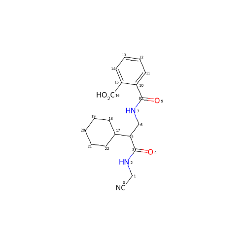 N#CCNC(=O)C(CNC(=O)c1ccccc1C(=O)O)C1CCCCC1